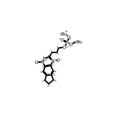 CC(C)(C)OP(=O)(OCCCc1n[n+]([O-])c2cc3c(cc2[n+]1[O-])CCC3)OC(C)(C)C